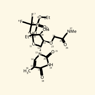 CCOP(=O)(OCC)C(F)(F)C[C@H]1O[C@@H](n2cc(C)c(=O)[nH]c2=O)[C@H](OCC(=O)NC)[C@@H]1O